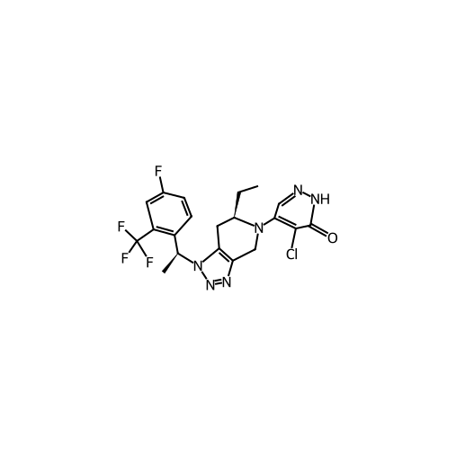 CC[C@@H]1Cc2c(nnn2[C@@H](C)c2ccc(F)cc2C(F)(F)F)CN1c1cn[nH]c(=O)c1Cl